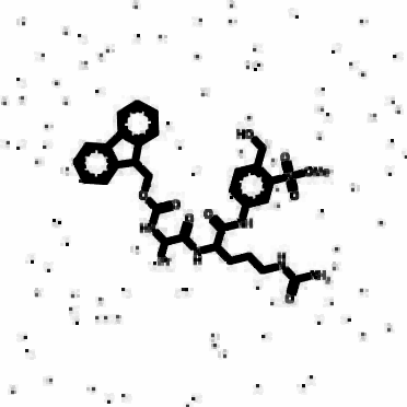 COS(=O)(=O)c1cc(NC(=O)C(CCCNC(N)=O)NC(=O)C(NC(=O)OCC2c3ccccc3-c3ccccc32)C(C)C)ccc1CO